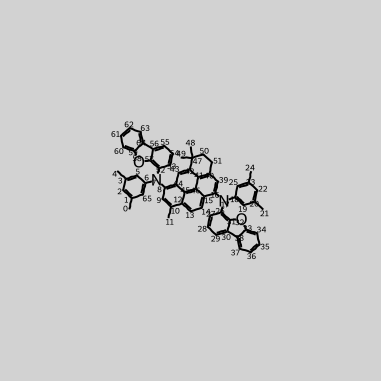 Cc1cc(C)cc(N(c2cc(C)c3ccc4c(N(c5cc(C)cc(C)c5)c5cccc6c5oc5ccccc56)cc5c6c(cc2c3c46)C(C)(C)CC5)c2cccc3c2oc2ccccc23)c1